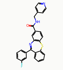 O=C(NCc1ccncc1)c1ccc2c(c1)N=C(c1cccc(F)c1)c1ccccc1S2